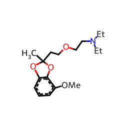 CCN(CC)CCOCCC1(C)Oc2cccc(OC)c2O1